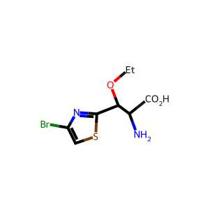 CCOC(c1nc(Br)cs1)C(N)C(=O)O